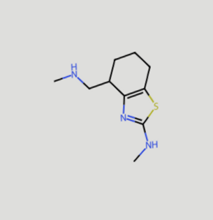 CNCC1CCCc2sc(NC)nc21